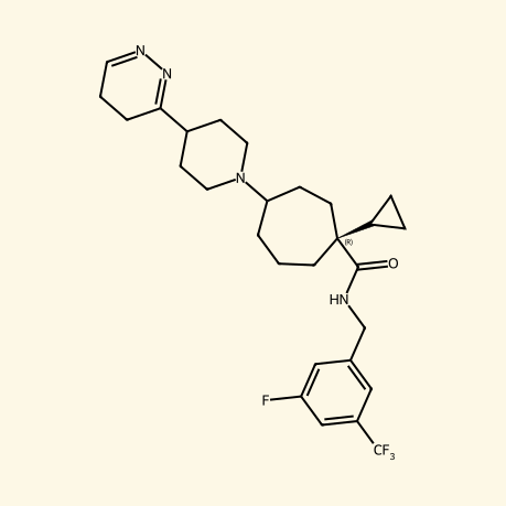 O=C(NCc1cc(F)cc(C(F)(F)F)c1)[C@]1(C2CC2)CCCC(N2CCC(C3=NN=CCC3)CC2)CC1